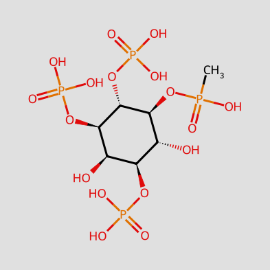 CP(=O)(O)O[C@H]1[C@H](O)[C@@H](OP(=O)(O)O)[C@@H](O)[C@@H](OP(=O)(O)O)[C@@H]1OP(=O)(O)O